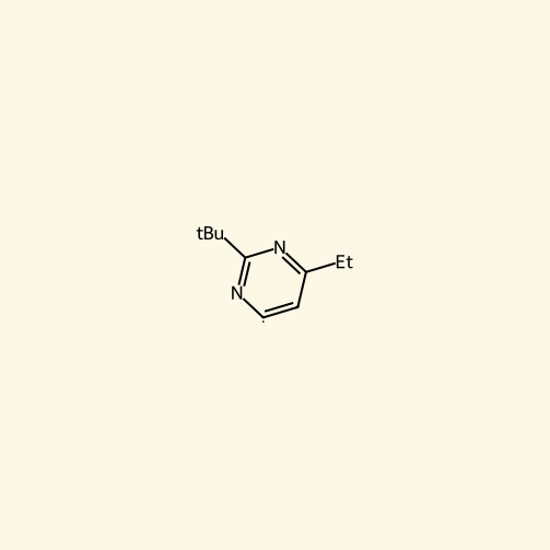 CCc1c[c]nc(C(C)(C)C)n1